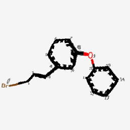 BrCC=Cc1cccc(Oc2ccccc2)c1